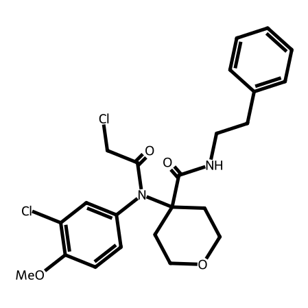 COc1ccc(N(C(=O)CCl)C2(C(=O)NCCc3ccccc3)CCOCC2)cc1Cl